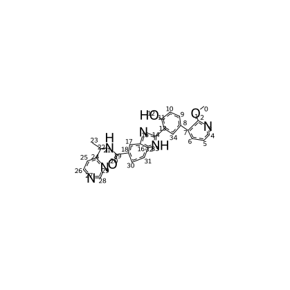 COc1ncccc1-c1ccc(O)c(-c2nc3cc(C(=O)NC(C)c4ccncn4)ccc3[nH]2)c1